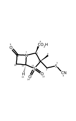 C[C@]1(CSC#N)[C@H](C(=O)O)N2C(=O)C[C@@H]2S1(=O)=O